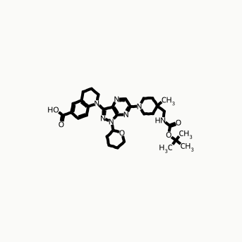 CC1(CNC(=O)OC(C)(C)C)CCN(c2cnc3c(N4CCCc5cc(C(=O)O)ccc54)nn(C4CCCCO4)c3n2)CC1